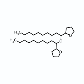 CCCCCCCCCC(OC(CCCCCCCCC)C1CCCO1)C1CCCO1